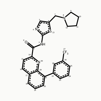 O=C(Nc1ncc(CN2CCCC2)s1)c1ccc2cccc(-c3cccc(C(F)(F)F)c3)c2n1